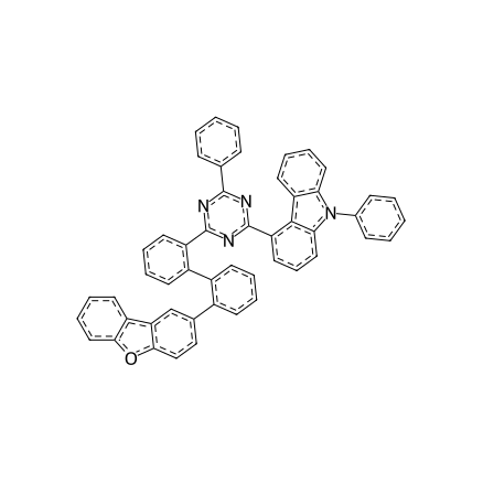 c1ccc(-c2nc(-c3ccccc3-c3ccccc3-c3ccc4oc5ccccc5c4c3)nc(-c3cccc4c3c3ccccc3n4-c3ccccc3)n2)cc1